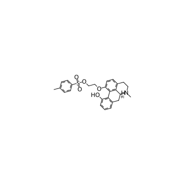 Cc1ccc(S(=O)(=O)OCCOc2ccc3c4c2-c2c(O)cccc2C[C@H]4N(C)CC3)cc1